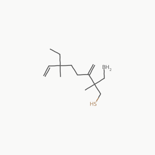 BCC(C)(CS)C(=C)CCC(C)(C=C)CC